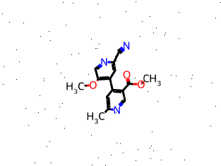 COC(=O)c1cnc(C)cc1-c1cc(C#N)ncc1OC